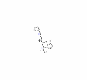 CC(=O)/C(=C/C(=O)NC/C=C/c1ccccc1)c1cccc(Cl)c1